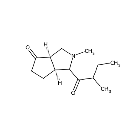 CCC(C)C(=O)C1[C@H]2CCC(=O)[C@H]2CN1C